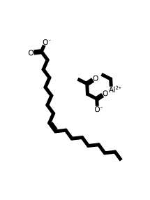 CC(=O)CC(=O)[O-].CCCCCCCC/C=C\CCCCCCCC(=O)[O-].C[CH2][Al+2]